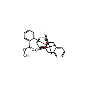 COC(=O)c1ccccc1N1C(=O)C2C3c4ccccc4C(c4ccccc43)C2C1=O